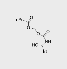 [CH2]CC(O)NC(=O)OCOC(=O)CCC